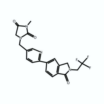 CN1C(=O)CN(Cc2ccc(-c3ccc4c(c3)CN(CC(F)(F)F)C4=O)nc2)C1=O